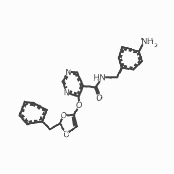 Nc1ccc(CNC(=O)c2cncnc2OC2=COC(Cc3ccccc3)O2)cc1